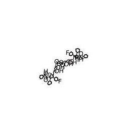 CC(C)c1c(C(=O)Nc2ccccc2)c(-c2ccccc2)c(-c2ccc(F)cc2)n1CC[C@@H](O)C[C@@H](O)CC(=O)OOC(=O)C[C@H](O)C[C@H](O)CCn1c(-c2ccc(F)cc2)c(-c2ccccc2)c(C(=O)Nc2ccccc2)c1C(C)C